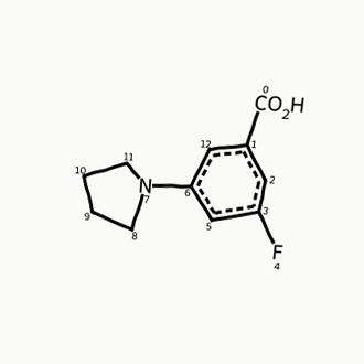 O=C(O)c1cc(F)cc(N2CCCC2)c1